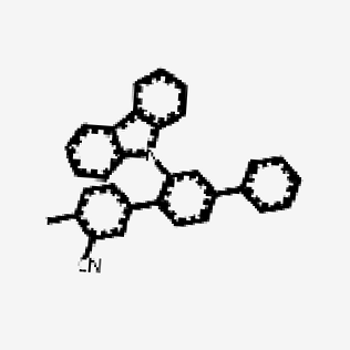 Cc1ccc(-c2ccc(-c3ccccc3)cc2-n2c3ccccc3c3ccccc32)cc1C#N